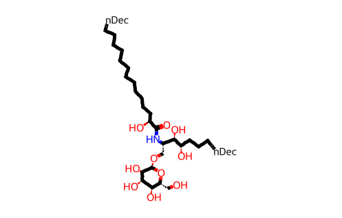 CCCCCCCCCCCCCCCCCCCCCC[C@H](O)C(=O)N[C@@H](CO[C@@H]1O[C@H](CO)[C@H](O)[C@H](O)[C@H]1O)[C@H](O)[C@@H](O)CCCCCCCCCCCCC